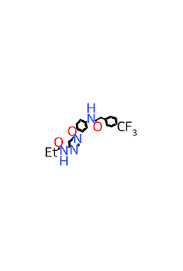 CCC(=O)Nc1cc(Oc2ccc(NC(=O)Cc3ccc(C(F)(F)F)cc3)cc2)ncn1